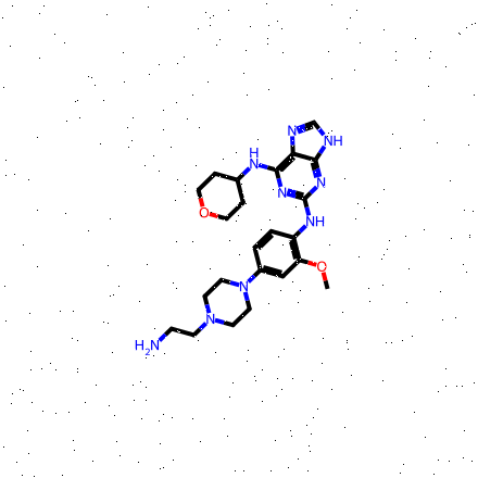 COc1cc(N2CCN(CCN)CC2)ccc1Nc1nc(NC2CCOCC2)c2nc[nH]c2n1